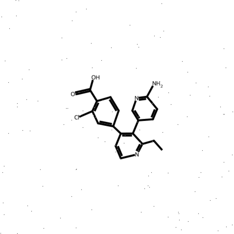 CCc1nccc(-c2ccc(C(=O)O)c(Cl)c2)c1-c1ccc(N)nc1